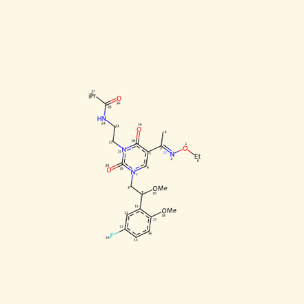 CCO/N=C(\C)c1cn(CC(OC)c2cc(F)ccc2OC)c(=O)n(CCNC(=O)C(C)C)c1=O